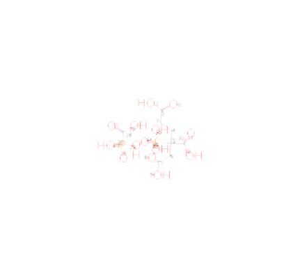 O=C(O)CCC(CC(=O)O)(C(=O)O)P(=O)(O)O.O=C(O)P(=O)(O)O